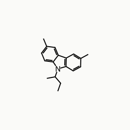 CCC(C)n1c2ccc(C)cc2c2cc(C)ccc21